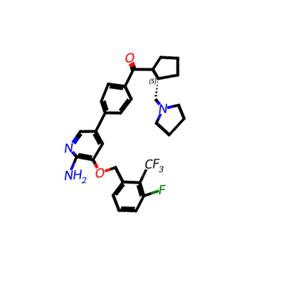 Nc1ncc(-c2ccc(C(=O)C3CCC[C@@H]3CN3CCCC3)cc2)cc1OCc1cccc(F)c1C(F)(F)F